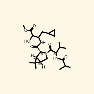 COC(=O)C(O)C(CC1CC1)NC(=O)[C@@H]1[C@@H]2[C@H](CN1C(=O)[C@@H](NC(=O)C(C)C)C(C)C)C2(C)C